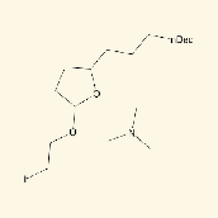 CCCCCCCCCCCCCC1CCC(OCCI)O1.CN(C)C